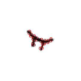 C=CC(=O)OCCCCOC(=O)c1cc(OC(=O)C2CCC(C(=O)Oc3ccc(OC(=O)CCC(=O)OCCOC(=O)C=C)c(C(=O)OCCCCOC(=O)C=C)c3)CC2)ccc1OC(=O)CCC(=O)OCCOC(=O)C=C